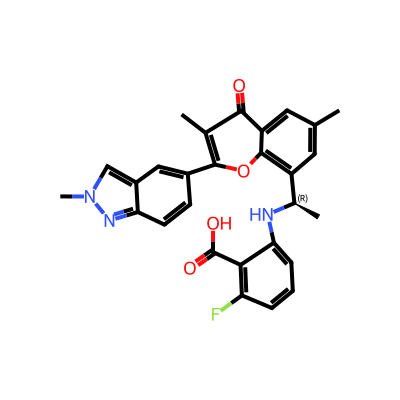 Cc1cc([C@@H](C)Nc2cccc(F)c2C(=O)O)c2oc(-c3ccc4nn(C)cc4c3)c(C)c(=O)c2c1